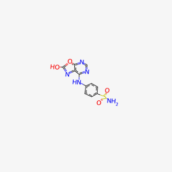 NS(=O)(=O)c1ccc(Nc2ncnc3oc(O)nc23)cc1